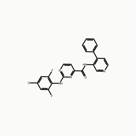 O=C(Nc1cnccc1-c1ccccc1)c1ccnc(Nc2c(F)cc(Cl)cc2F)n1